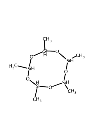 C[SiH]1O[SiH](C)O[SiH](C)O[SiH](C)O[SiH](C)O1